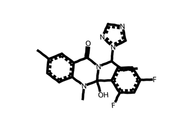 CCC(N1C(=O)c2cc(C)ccc2N(C)C1(O)c1ccc(F)cc1F)n1cncn1